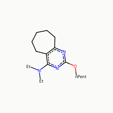 CCCCCOc1nc2c(c(N(CC)CC)n1)CCCCC2